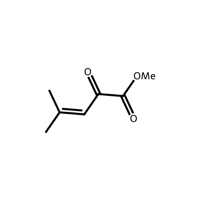 COC(=O)C(=O)C=C(C)C